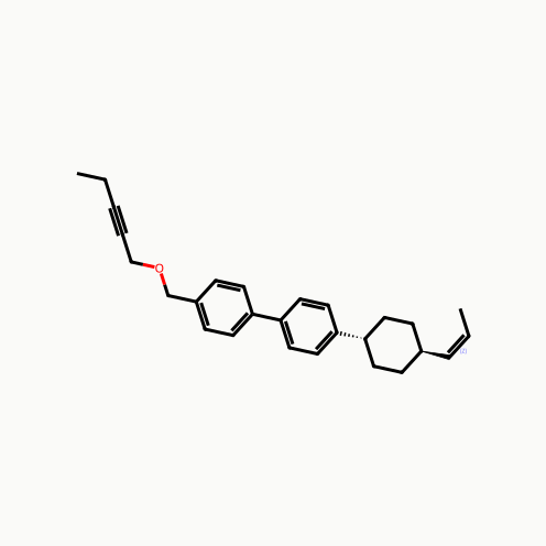 C/C=C\[C@H]1CC[C@H](c2ccc(-c3ccc(COCC#CCC)cc3)cc2)CC1